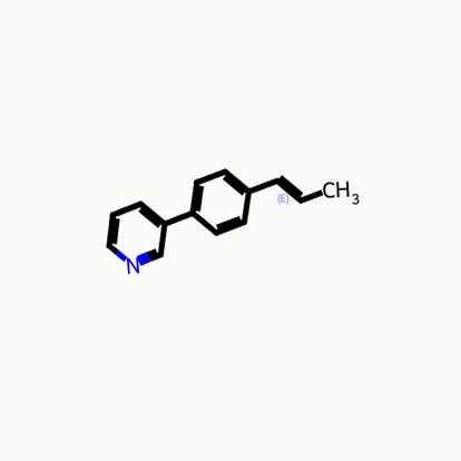 C/C=C/c1ccc(-c2cccnc2)cc1